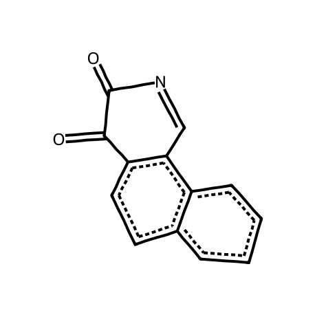 O=C1N=Cc2c(ccc3ccccc23)C1=O